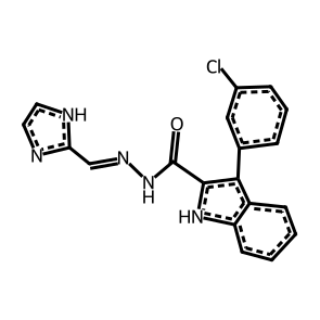 O=C(NN=Cc1ncc[nH]1)c1[nH]c2ccccc2c1-c1cccc(Cl)c1